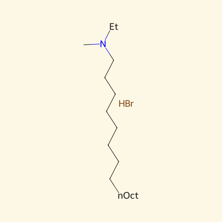 Br.CCCCCCCCCCCCCCCCN(C)CC